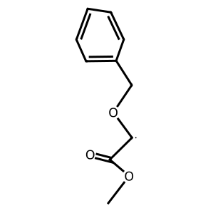 COC(=O)[CH]OCc1ccccc1